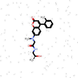 Cc1ccccc1-c1cc(=O)oc2cc(N(C)CC(=O)NC[C@H](C)O)ccc12